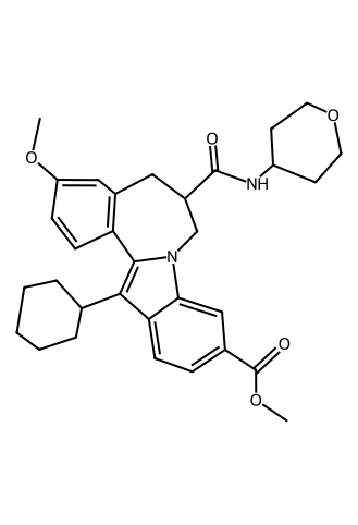 COC(=O)c1ccc2c(C3CCCCC3)c3n(c2c1)CC(C(=O)NC1CCOCC1)Cc1cc(OC)ccc1-3